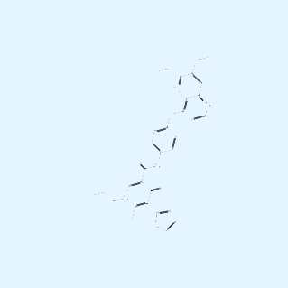 BCCn1cc(C(=O)Nc2ccc(Oc3ccnc4cc(OC)c(OC)nc34)c(B)c2)c(=O)c(-c2cccs2)c1C